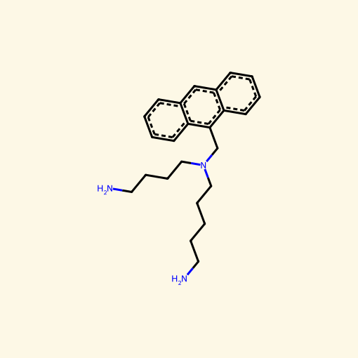 NCCCCCN(CCCCN)Cc1c2ccccc2cc2ccccc12